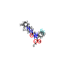 CCOC(=O)c1nn(CC(=O)N2CCN(c3cccc(C)c3C)CC2)c2c1CCC(F)(F)C2